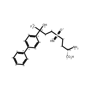 N=S(=O)(CC[C@H](N)C(=O)O)CCC(O)(c1ccc(-c2ccccc2)cc1)C(F)(F)F